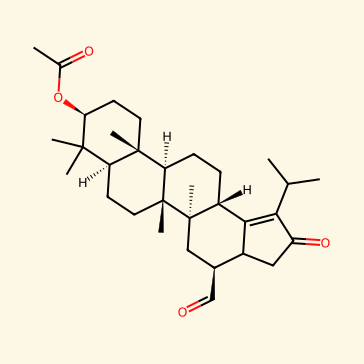 CC(=O)O[C@H]1CC[C@]2(C)[C@H]3CC[C@@H]4C5=C(C(C)C)C(=O)CC5[C@@H](C=O)C[C@@]4(C)[C@]3(C)CC[C@H]2C1(C)C